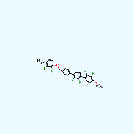 CCCCOc1ccc(-c2ccc(C3=CCC(COc4ccc(C)c(F)c4F)CC3)c(F)c2F)c(F)c1F